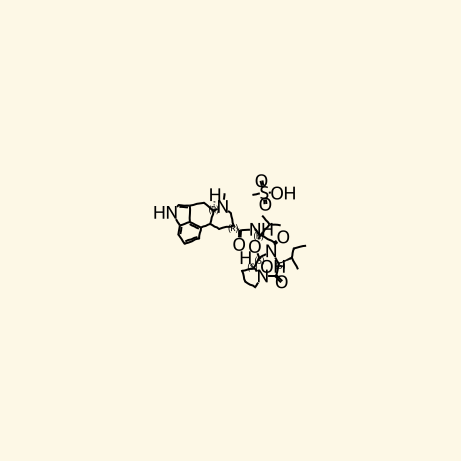 CCC(C)[C@H]1C(=O)N2CCC[C@H]2[C@]2(O)O[C@](NC(=O)[C@@H]3CC4c5cccc6[nH]cc(c56)C[C@H]4N(C)C3)(C(C)C)C(=O)N12.CS(=O)(=O)O